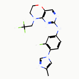 Cc1cn(-c2ccc(Nc3ncc4c(n3)N(CC(F)(F)F)CCO4)cc2F)cn1